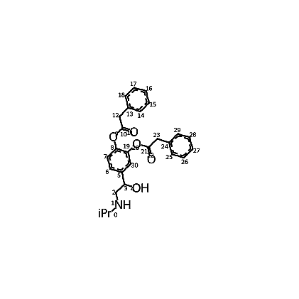 CC(C)NCC(O)c1ccc(OC(=O)Cc2ccccc2)c(OC(=O)Cc2ccccc2)c1